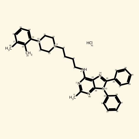 Cc1nc(NCCCCN2CCN(c3cccc(C)c3C)CC2)c2nc(-c3ccccc3)n(-c3ccccc3)c2n1.Cl